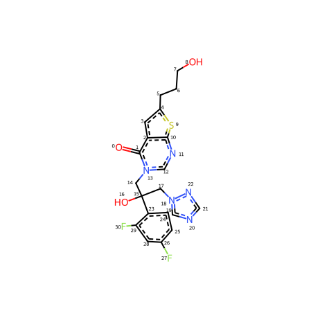 O=c1c2cc(CCCO)sc2ncn1CC(O)(Cn1cncn1)c1ccc(F)cc1F